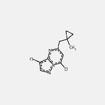 CC1(Cc2cc(Cl)n3ncc(Cl)c3n2)CC1